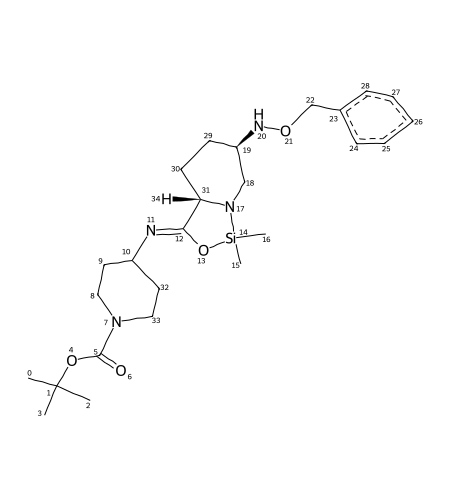 CC(C)(C)OC(=O)N1CCC(/N=C2\O[Si](C)(C)N3C[C@H](NOCc4ccccc4)CC[C@@H]23)CC1